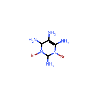 NC1=C(N)N(Br)C(N)N(Br)C1N